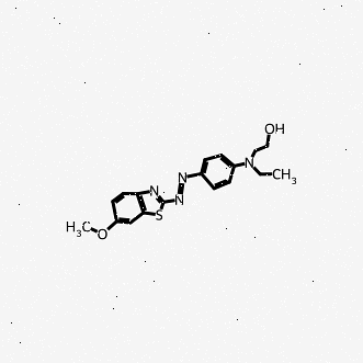 CCN(CCO)c1ccc(/N=N/c2nc3ccc(OC)cc3s2)cc1